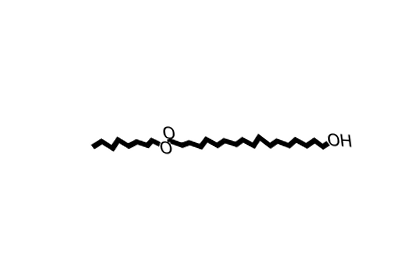 CCCCCCCCOC(=O)CCCCCCCCCCCCCCCCCO